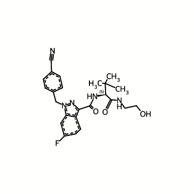 CC(C)(C)[C@H](NC(=O)c1nn(Cc2ccc(C#N)cc2)c2cc(F)ccc12)C(=O)NCCO